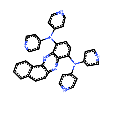 c1ccc2c(c1)ccc1nc3c(N(c4ccncc4)c4ccncc4)ccc(N(c4ccncc4)c4ccncc4)c3nc12